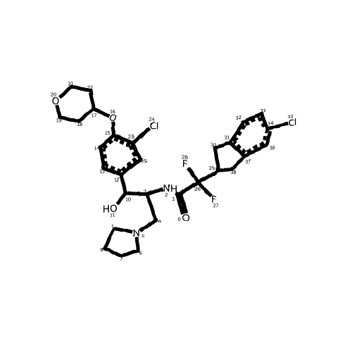 O=C(NC(CN1CCCC1)C(O)c1ccc(OC2CCOCC2)c(Cl)c1)C(F)(F)C1Cc2ccc(Cl)cc2C1